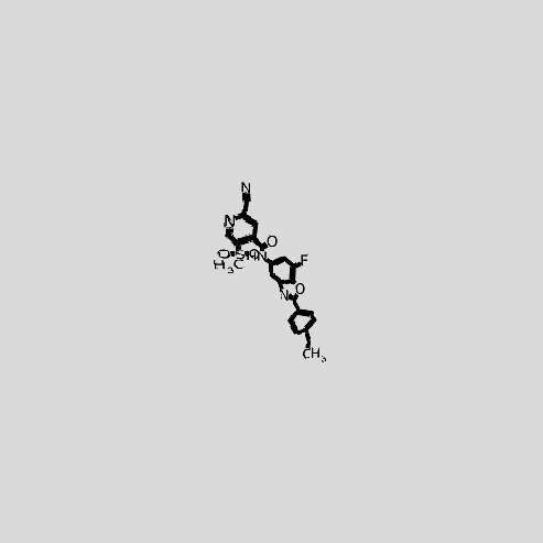 CCc1ccc(-c2nc3cc(NC(=O)c4cc(C#N)ncc4S(C)(=O)=O)cc(F)c3o2)cc1